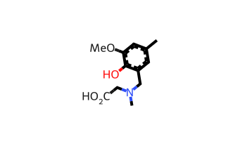 COc1cc(C)cc(CN(C)CC(=O)O)c1O